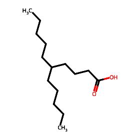 CCCCCC(CCCCC)CCCC(=O)O